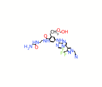 CCc1cc(Nc2nccn3c(-c4cn(CC#N)nc4C(F)(F)F)cnc23)ccc1C(=O)NCCNC(=O)CN.O=CO